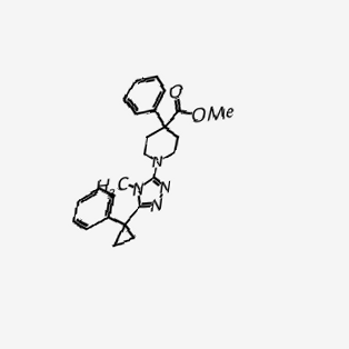 COC(=O)C1(c2ccccc2)CCN(c2nnc(C3(c4ccccc4)CC3)n2C)CC1